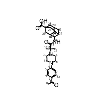 CC(=O)c1ccc(N2CCN(C(C)(C)C(=O)NC3C4CC5CC3CC(C(=O)O)(C5)C4)CC2)cc1